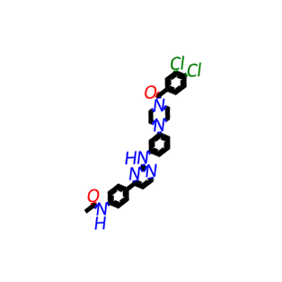 CC(=O)Nc1ccc(-c2ccnc(Nc3cccc(N4CCN(C(=O)c5ccc(Cl)c(Cl)c5)CC4)c3)n2)cc1